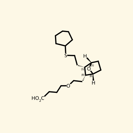 O=C(O)CCCOCC[C@@H]1[C@H](CCSC2CCCCC2)[C@@H]2CC[C@H]1O2